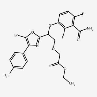 CCOC(=O)COCC(Oc1ccc(F)c(C(N)=O)c1F)c1nc(-c2ccc(C)cc2)c(Br)o1